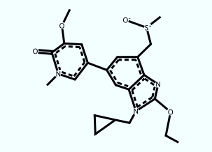 CCOc1nc2c(C[S+](C)[O-])cc(-c3cc(OC)c(=O)n(C)c3)cc2n1CC1CC1